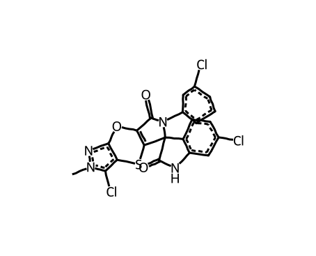 Cn1nc2c(c1Cl)SC1=C(O2)C(=O)N(c2cccc(Cl)c2)C12C(=O)Nc1cc(Cl)ccc12